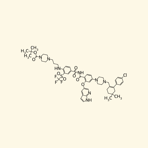 CC1(C)CCC(CN2CCN(c3ccc(C(=O)NS(=O)(=O)c4ccc(NCCCN5CCN(C(=O)OC(C)(C)C)CC5)c(S(=O)(=O)C(F)(F)F)c4)c(Oc4cnc5[nH]ccc5c4)c3)CC2)=C(c2ccc(Cl)cc2)C1